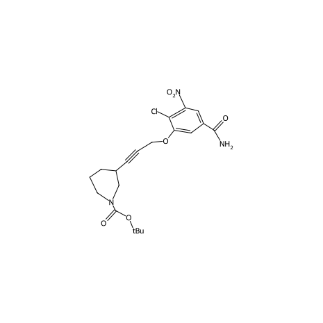 CC(C)(C)OC(=O)N1CCCC(C#CCOc2cc(C(N)=O)cc([N+](=O)[O-])c2Cl)C1